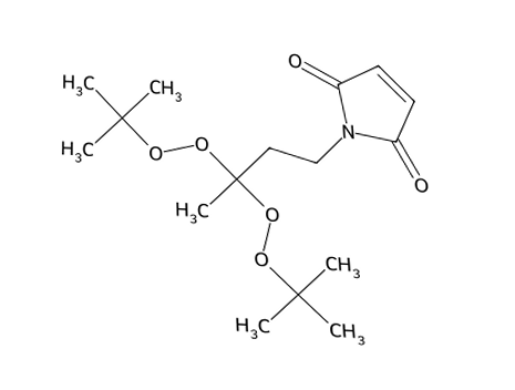 CC(C)(C)OOC(C)(CCN1C(=O)C=CC1=O)OOC(C)(C)C